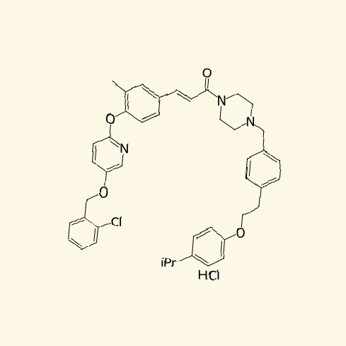 Cc1cc(/C=C/C(=O)N2CCN(Cc3ccc(CCOc4ccc(C(C)C)cc4)cc3)CC2)ccc1Oc1ccc(OCc2ccccc2Cl)cn1.Cl